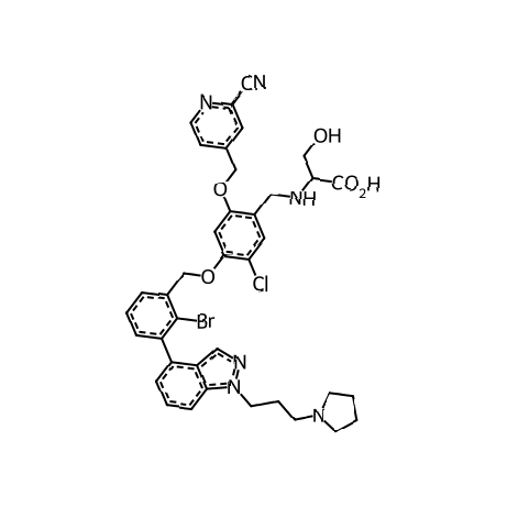 N#Cc1cc(COc2cc(OCc3cccc(-c4cccc5c4cnn5CCCN4CCCC4)c3Br)c(Cl)cc2CNC(CO)C(=O)O)ccn1